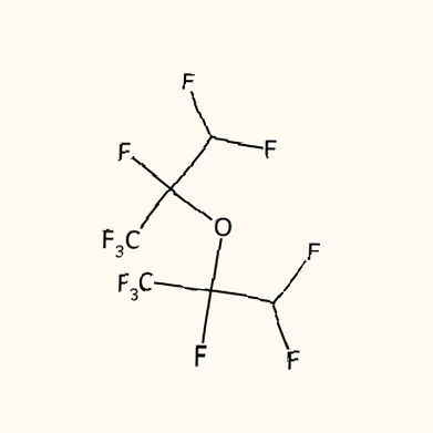 FC(F)C(F)(OC(F)(C(F)F)C(F)(F)F)C(F)(F)F